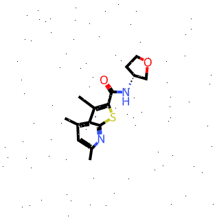 Cc1cc(C)c2c(C)c(C(=O)N[C@@H]3CCOC3)sc2n1